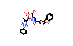 Cc1nn(-c2ccccc2)nc1C(=O)NC(CC(=O)c1ccc2oc3ccccc3c2c1)C(=O)O